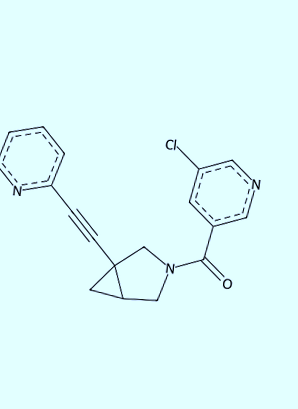 O=C(c1cncc(Cl)c1)N1CC2CC2(C#Cc2ccccn2)C1